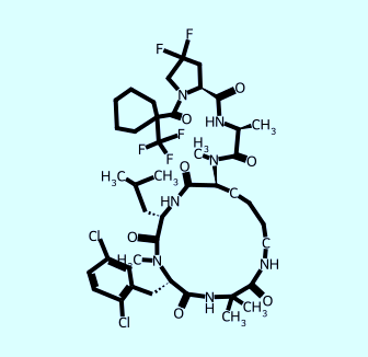 CC(C)C[C@@H]1NC(=O)[C@@H](N(C)C(=O)[C@H](C)NC(=O)[C@@H]2CC(F)(F)CN2C(=O)C2(C(F)(F)F)CCCCC2)CCCCNC(=O)C(C)(C)NC(=O)[C@H](Cc2cc(Cl)ccc2Cl)N(C)C1=O